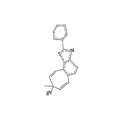 CC(C)C1(C)C=Cc2ccc3nc(-c4ccccc4)sc3c2C=C1